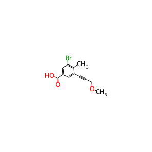 COCC#Cc1cc(C(=O)O)cc(Br)c1C